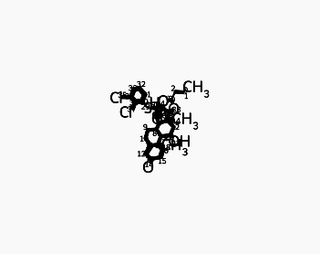 CCC[C@@H]1O[C@@H]2CC3C4CCC5=CC(=O)C=CC5(C)C4[C@@H](O)CC3(C)[C@]2(C(=O)CSc2cccc(Cl)c2Cl)O1